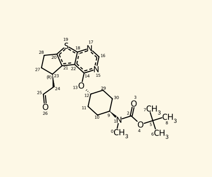 CN(C(=O)OC(C)(C)C)[C@H]1CC[C@H](Oc2ncnc3sc4c(c23)[C@@H](CC=O)CC4)CC1